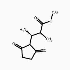 CC(C(=O)OC(C)(C)C)[C@H](N)C1C(=O)CCC1=O